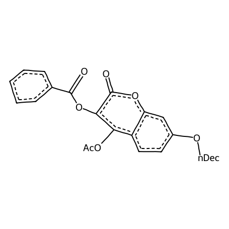 CCCCCCCCCCOc1ccc2c(OC(C)=O)c(OC(=O)c3ccccc3)c(=O)oc2c1